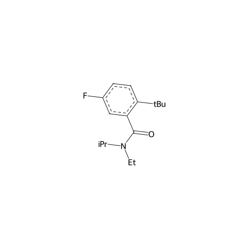 CCN(C(=O)c1cc(F)ccc1C(C)(C)C)C(C)C